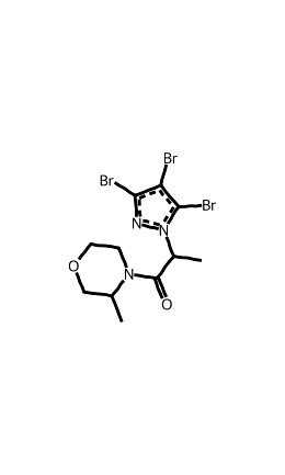 CC1COCCN1C(=O)C(C)n1nc(Br)c(Br)c1Br